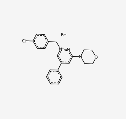 Clc1ccc(C[n+]2cc(-c3ccccc3)cc(N3CCOCC3)n2)cc1.[Br-]